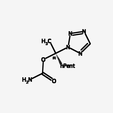 CCCCC[C@@](C)(OC(N)=O)n1ncnn1